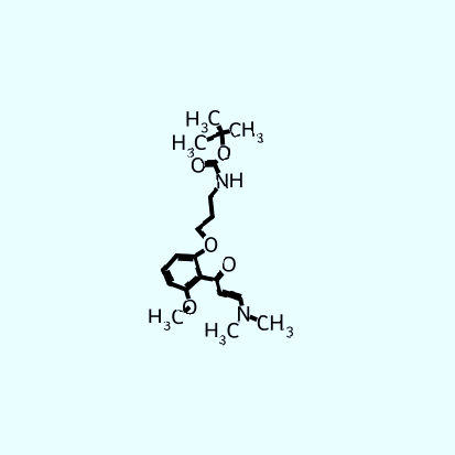 COc1cccc(OCCCNC(=O)OC(C)(C)C)c1C(=O)/C=C/N(C)C